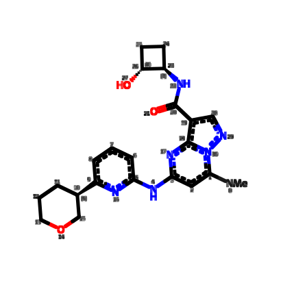 CNc1cc(Nc2cccc([C@@H]3CCCOC3)n2)nc2c(C(=O)N[C@@H]3CC[C@H]3O)cnn12